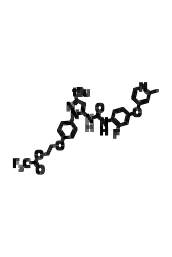 Cc1cc(Oc2ccc(NC(=O)Nc3cc(C(C)(C)C)nn3-c3ccc(OCCOC(=O)C(F)(F)F)cc3)c(F)c2)ccn1